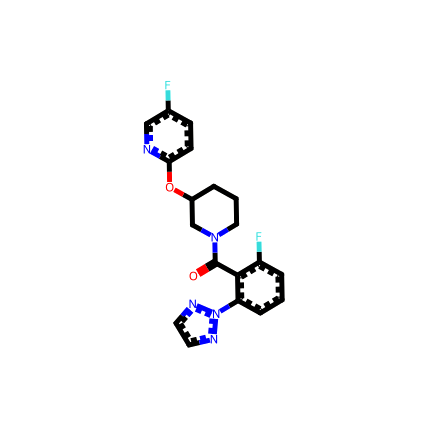 O=C(c1c(F)cccc1-n1nccn1)N1CCCC(Oc2ccc(F)cn2)C1